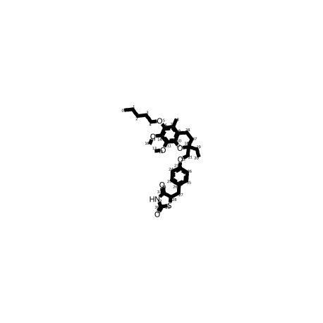 CCCCCOc1c(C)c2c(c(OC)c1OC)OC(CC)(COc1ccc(CC3SC(=O)NC3=O)cc1)CC2